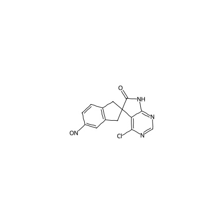 O=Nc1ccc2c(c1)CC1(C2)C(=O)Nc2ncnc(Cl)c21